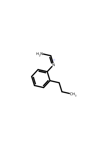 CCCc1ccccc1/N=C\N